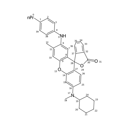 CCCc1ccc(Nc2cc3c(cc2C)Oc2cc(N(C)C4CCCCC4)ccc2C32OC(=O)c3ccccc32)cc1